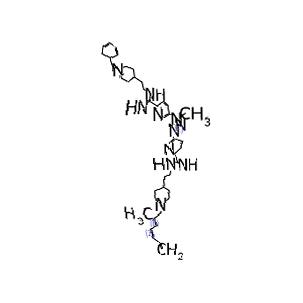 C=C/C=C\C=C(/C)CN1CCC(CCNC(=N)c2ccc(/N=N/N(C)c3ccc(C(=N)NCCC4CCN(CC5C=CC=CC5)CC4)nc3)cn2)CC1